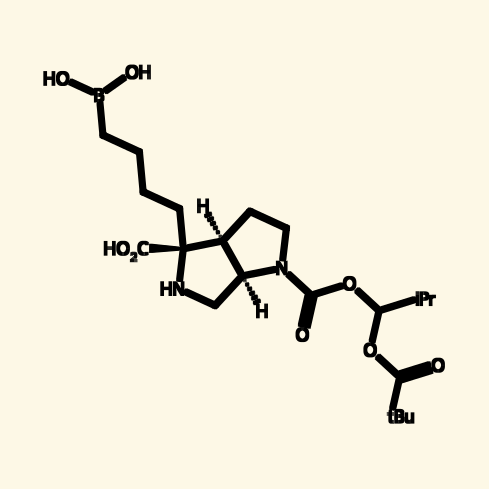 CC(C)C(OC(=O)N1CC[C@H]2[C@@H]1CN[C@@]2(CCCCB(O)O)C(=O)O)OC(=O)C(C)(C)C